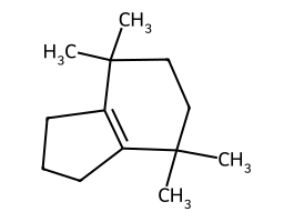 CC1(C)CCC(C)(C)C2=C1CCC2